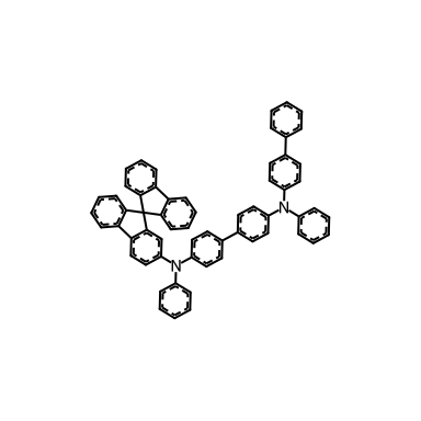 c1ccc(-c2ccc(N(c3ccccc3)c3ccc(-c4ccc(N(c5ccccc5)c5ccc6c(c5)C5(c7ccccc7-c7ccccc75)c5ccccc5-6)cc4)cc3)cc2)cc1